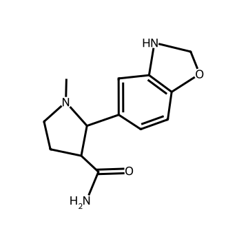 CN1CCC(C(N)=O)C1c1ccc2c(c1)NCO2